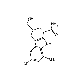 Cc1cc(Cl)cc2c3c([nH]c12)C(C(N)=O)CC(CO)C3